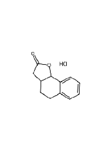 Cl.O=C1CC2CCc3ccccc3C2O1